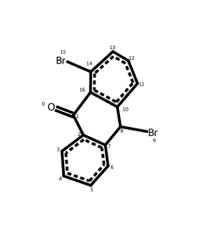 O=C1c2ccccc2C(Br)c2cccc(Br)c21